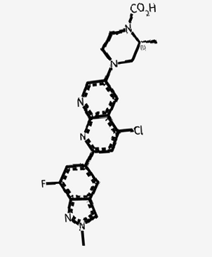 C[C@H]1CN(c2cnc3nc(-c4cc(F)c5nn(C)cc5c4)cc(Cl)c3c2)CCN1C(=O)O